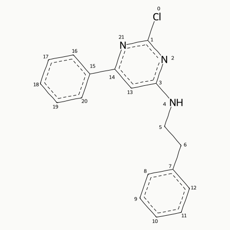 Clc1nc(NCCc2ccccc2)cc(-c2ccccc2)n1